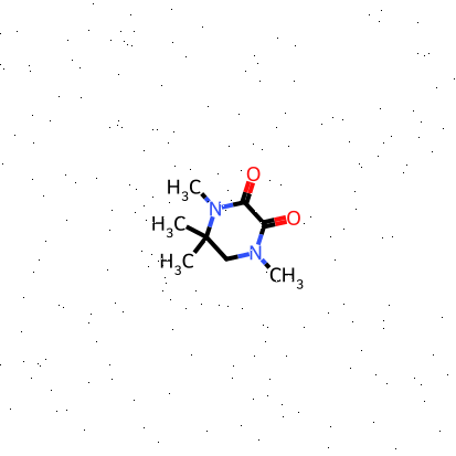 CN1CC(C)(C)N(C)C(=O)C1=O